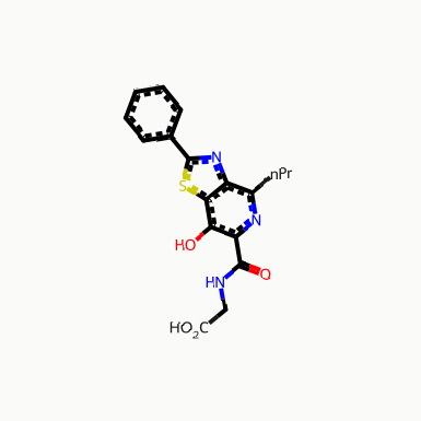 CCCc1nc(C(=O)NCC(=O)O)c(O)c2sc(-c3ccccc3)nc12